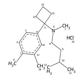 Cc1ccc(C2(N(C)CCC(C)C)CCC2)cc1C.Cl